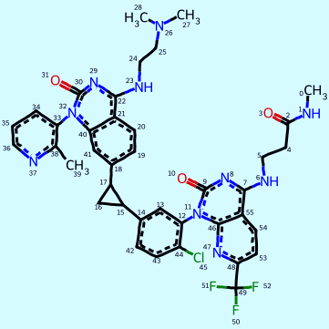 CNC(=O)CCNc1nc(=O)n(-c2cc(C3CC3c3ccc4c(NCCN(C)C)nc(=O)n(-c5cccnc5C)c4c3)ccc2Cl)c2nc(C(F)(F)F)ccc12